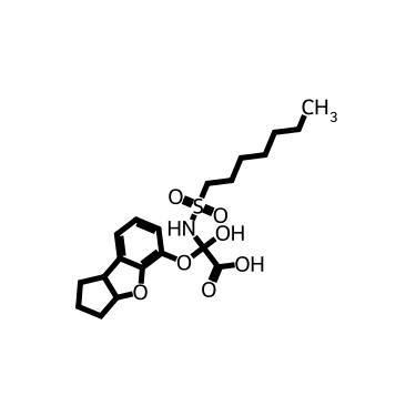 CCCCCCCS(=O)(=O)NC(O)(Oc1cccc2c1OC1CCCC21)C(=O)O